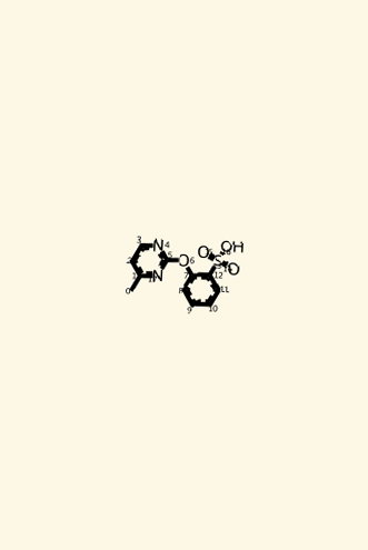 Cc1ccnc(Oc2ccccc2S(=O)(=O)O)n1